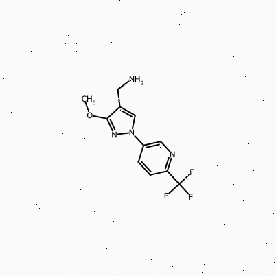 COc1nn(-c2ccc(C(F)(F)F)nc2)cc1CN